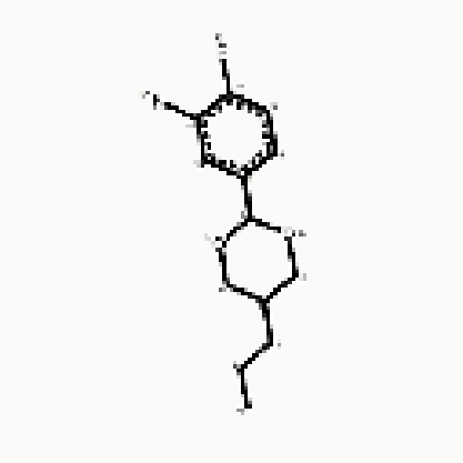 CCCC1COC(c2ccc(F)c(F)c2)OC1